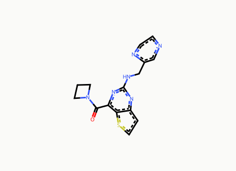 O=C(c1nc(NCc2cnccn2)nc2ccsc12)N1CCC1